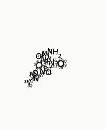 Nc1ccn(-c2cccc3c2C2(CCN(Cc4ccccc4)CC2)C(=O)N3Cc2nc(C3CC3)no2)c(=O)n1